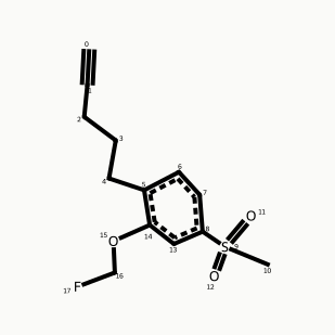 C#CCCCc1ccc(S(C)(=O)=O)cc1OCF